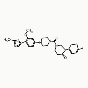 COc1cc(N2CCN(C(=O)N3CCC(=O)C(C4=CC=C(F)CC4)C3)CC2)ccc1-c1cnc(C)o1